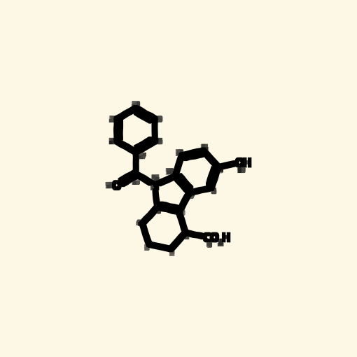 O=C(O)C1CCCc2c1c1cc(O)ccc1n2C(=O)c1ccccc1